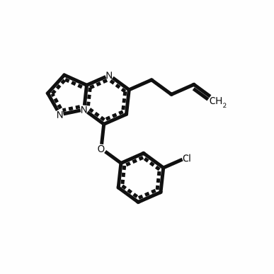 C=CCCc1cc(Oc2cccc(Cl)c2)n2nccc2n1